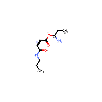 CCCNC(=O)/C=C\C(=O)OC(N)CC